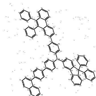 c1ccc(-c2c(-c3ccccc3)c3cc(-c4ccc(N(c5ccc(-c6ccc(-c7cccc8ccccc78)cc6)cc5)c5ccc6c(c5)-c5ccccc5C6(c5ccccc5)c5ccccc5)cc4)ccc3c3ccccc23)cc1